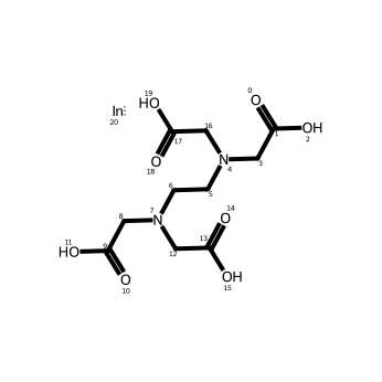 O=C(O)CN(CCN(CC(=O)O)CC(=O)O)CC(=O)O.[In]